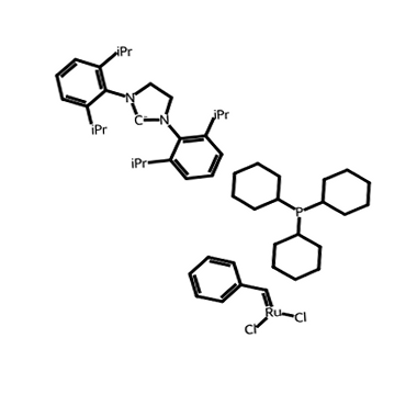 C1CCC(P(C2CCCCC2)C2CCCCC2)CC1.CC(C)c1cccc(C(C)C)c1N1[CH-]N(c2c(C(C)C)cccc2C(C)C)CC1.[Cl][Ru]([Cl])=[CH]c1ccccc1